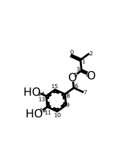 C=C(C)C(=O)OC(C)c1ccc(O)c(O)c1